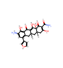 NC(=O)C1=C(O)C[C@@H]2C[C@@H]3Cc4c(-c5ccoc5)cc(N)c(O)c4C(=O)C3=C(O)[C@]2(O)C1=O